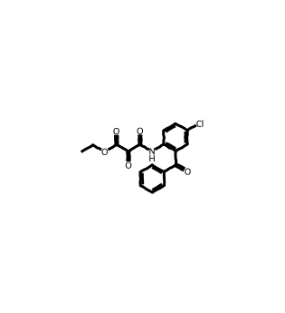 CCOC(=O)C(=O)C(=O)Nc1ccc(Cl)cc1C(=O)c1ccccc1